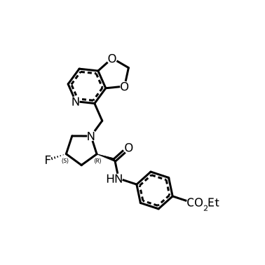 CCOC(=O)c1ccc(NC(=O)[C@H]2C[C@H](F)CN2Cc2nccc3c2OCO3)cc1